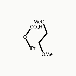 CC(C)OC(=O)O.COCCOC